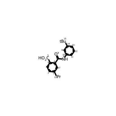 CC(C)c1ccc(C(=O)O)c(C(=O)Nc2cccc(C(C)(C)C)c2)c1